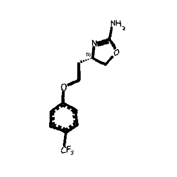 NC1=N[C@@H](CCOc2ccc(C(F)(F)F)cc2)CO1